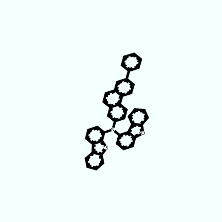 c1ccc(-c2ccc3c(ccc4cc(N(c5cccc6c5sc5ccccc56)c5cccc6oc7ccccc7c56)ccc43)c2)cc1